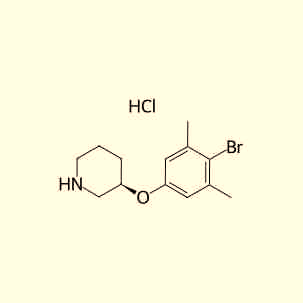 Cc1cc(O[C@@H]2CCCNC2)cc(C)c1Br.Cl